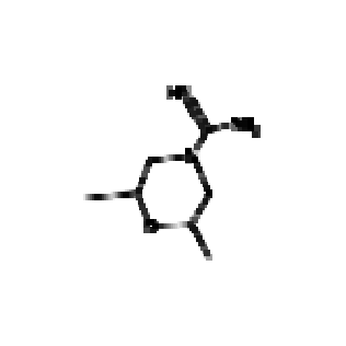 CC1CN(C(=N)N)CC(C)O1